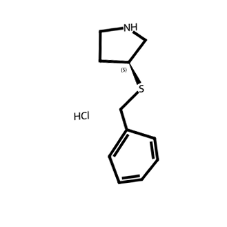 Cl.c1ccc(CS[C@H]2CCNC2)cc1